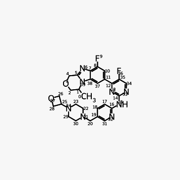 CC1COCc2nc3c(F)cc(-c4nc(Nc5ccc(CN6CCN(C7COC7)CC6)cn5)ncc4F)cc3n21